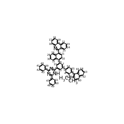 CC1(C)c2cc(-c3cc(-c4ccc(-c5nc6ccccc6c6ccccc56)c5ccccc45)cc(C4N=C(c5ccccc5)N=C(c5ccccc5)N4)c3)ccc2-c2c1ccc1ccccc21